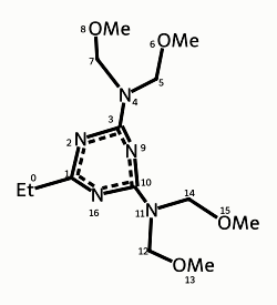 CCc1nc(N(COC)COC)nc(N(COC)COC)n1